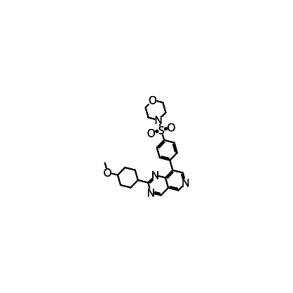 COC1CCC(c2ncc3cncc(-c4ccc(S(=O)(=O)N5CCOCC5)cc4)c3n2)CC1